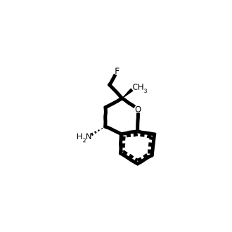 C[C@]1(CF)C[C@@H](N)c2ccccc2O1